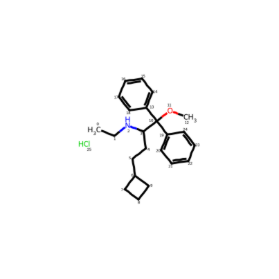 CCNC(CCC1CCC1)C(OC)(c1ccccc1)c1ccccc1.Cl